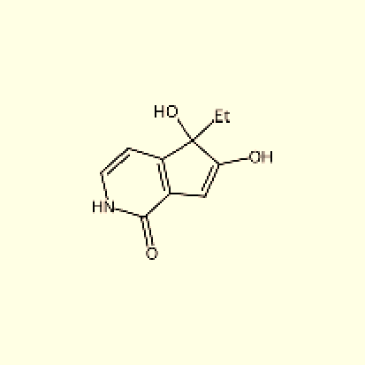 CCC1(O)C(O)=Cc2c1cc[nH]c2=O